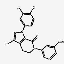 CCc1nn(-c2ccc(Cl)c(Cl)c2)c2c1CCN(c1cccc(OC)c1)C2=O